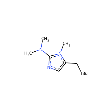 CN(C)c1ncc(CC(C)(C)C)n1C